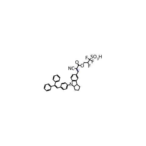 N#C/C(=C\c1ccc2c(c1)C1CCCC1N2c1ccc(C=C(c2ccccc2)c2ccccc2)cc1)C(=O)OCC(F)C(F)(F)S(=O)(=O)O